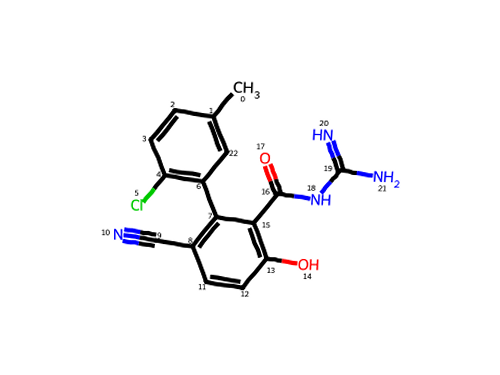 Cc1ccc(Cl)c(-c2c(C#N)ccc(O)c2C(=O)NC(=N)N)c1